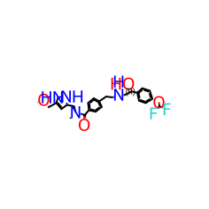 COCC1=CC(CN(C)C(=O)c2ccc(CCNC[C@H](O)c3ccc(OC(F)F)cc3)cc2)NN1